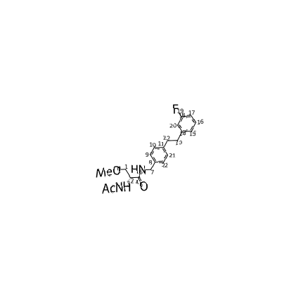 COC[C@@H](NC(C)=O)C(=O)NCc1ccc(CCc2cccc(F)c2)cc1